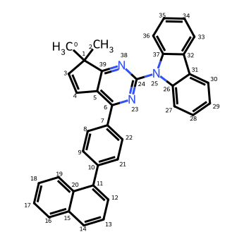 CC1(C)C=Cc2c(-c3ccc(-c4cccc5ccccc45)cc3)nc(-n3c4ccccc4c4ccccc43)nc21